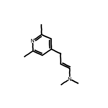 Cc1cc(CC=CN(C)C)cc(C)n1